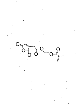 C=C(C)C(=O)OCCOC(=O)CC1=CC(=O)OC1=O